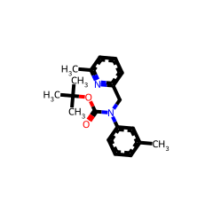 Cc1cccc(N(Cc2cccc(C)n2)C(=O)OC(C)(C)C)c1